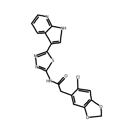 O=C(Cc1cc2c(cc1Cl)OCO2)Nc1nnc(-c2c[nH]c3ncccc23)s1